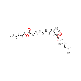 CCCCCCOC(=O)CCCCCCCCC(CC)CC(=O)OCCCCCC